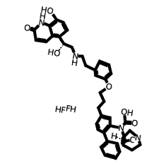 F.F.O=C(O)N(c1cc(CCCOc2cccc(CCNC[C@H](O)c3ccc(O)c4[nH]c(=O)ccc34)c2)ccc1-c1ccccc1)[C@H]1CN2CCC1CC2